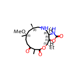 CC[C@@H]1OC(=O)C(C)C(=O)CC[C@](C)(OC)C[C@@H](C)CN[C@H](C)[C@H]2NC(=O)O[C@@H]21